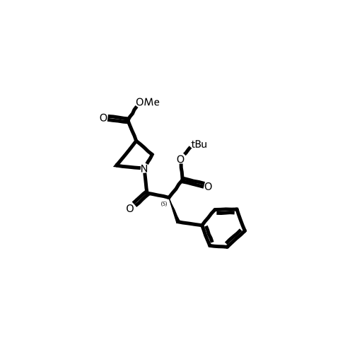 COC(=O)C1CN(C(=O)[C@H](Cc2ccccc2)C(=O)OC(C)(C)C)C1